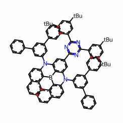 CC(C)(C)c1cc(-c2nc(-c3cc(C(C)(C)C)cc(C(C)(C)C)c3)nc(-c3cc4c5c(c3)N(c3cc(-c6ccccc6)cc(-c6ccccc6)c3)c3ccc6ccccc6c3B5c3c(ccc5ccccc35)N4c3cc(-c4ccccc4)cc(-c4ccccc4)c3)n2)cc(C(C)(C)C)c1